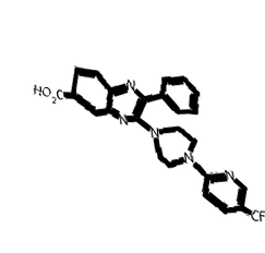 O=C(O)c1ccc2nc(-c3ccccc3)c(N3CCN(c4ccc(C(F)(F)F)cn4)CC3)nc2c1